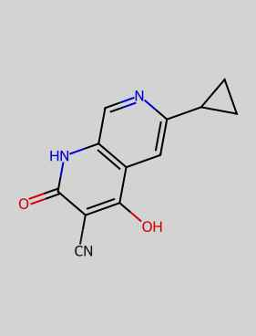 N#Cc1c(O)c2cc(C3CC3)ncc2[nH]c1=O